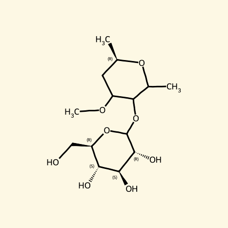 COC1C[C@@H](C)OC(C)C1OC1O[C@H](CO)[C@@H](O)[C@H](O)[C@H]1O